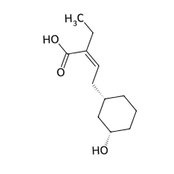 CCC(=CC[C@@H]1CCC[C@H](O)C1)C(=O)O